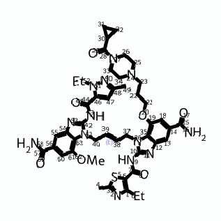 CCc1nc(C)sc1C(=O)Nc1nc2cc(C(N)=O)cc(OCCCN3CCN(C(=O)C4CC4)CC3)c2n1C/C=C/Cn1c(NC(=O)c2cc(C)nn2CC)nc2cc(C(N)=O)cc(OC)c21